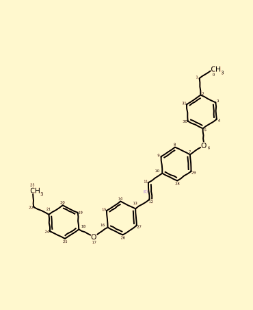 CCc1ccc(Oc2ccc(/C=C/c3ccc(Oc4ccc(CC)cc4)cc3)cc2)cc1